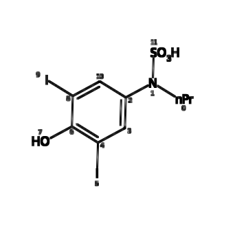 CCCN(c1cc(I)c(O)c(I)c1)S(=O)(=O)O